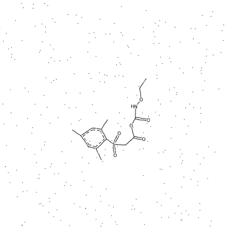 CCONC(=O)OC(=O)CS(=O)(=O)c1c(C)cc(C)cc1C